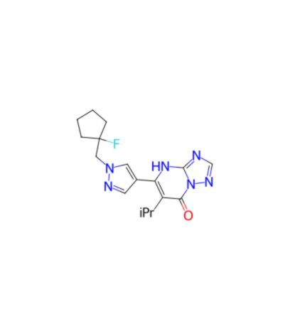 CC(C)c1c(-c2cnn(CC3(F)CCCC3)c2)[nH]c2ncnn2c1=O